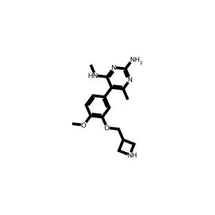 CNc1nc(N)nc(C)c1-c1ccc(OC)c(OCC2CNC2)c1